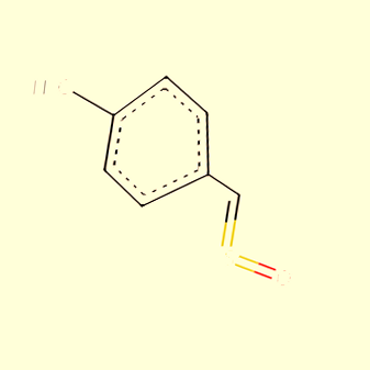 Cc1ccc([C]=S=O)cc1